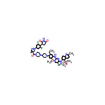 CCc1cc(Nc2ncc(Br)c(Nc3ccc4nc(C)ccc4c3P(C)(C)=O)n2)c(OC)cc1N1CCC(N2CCN(C(=O)C3(CNc4cc(F)c(C5CCC(=O)NC5=O)c(F)c4)CC3)CC2)CC1